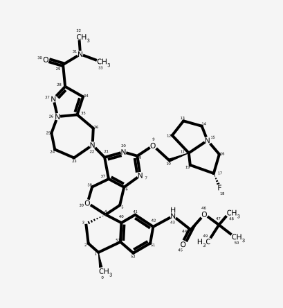 C[C@H]1CC[C@]2(Cc3nc(OC[C@@]45CCCN4C[C@H](F)C5)nc(N4CCCn5nc(C(=O)N(C)C)cc5C4)c3CO2)c2cc(NC(=O)OC(C)(C)C)ccc21